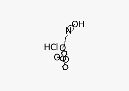 Cl.O=c1cc(-c2ccccc2)oc2ccc(OCCCCCCN3CCC(O)CC3)cc12